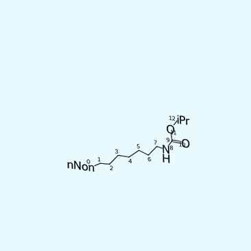 CCCCCCCCCCCCCCCCNC(=O)OC(C)C